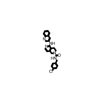 O=C(NCc1ccc(Cl)cc1)N1CCc2c(ccnc2Nc2cnc3ccccc3c2)C1